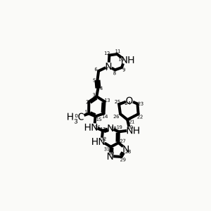 Cc1cc(C#CCN2CCNCC2)ccc1Nc1nc(NC2CCOCC2)c2ncnc-2[nH]1